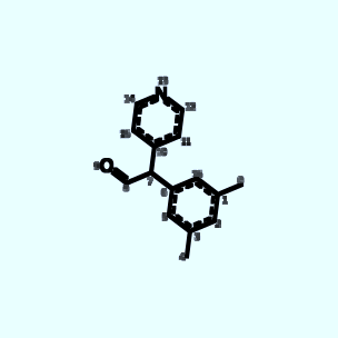 Cc1cc(C)cc(C(C=O)c2ccncc2)c1